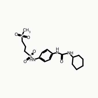 CS(=O)(=O)CCCS(=O)(=O)Nc1ccc(NC(=O)NC2CCCCC2)cc1